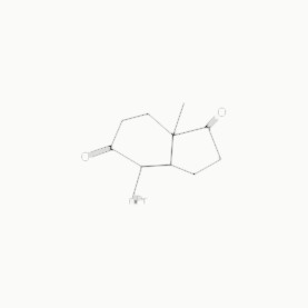 CCCC1C(=O)CCC2(C)C(=O)CCC12